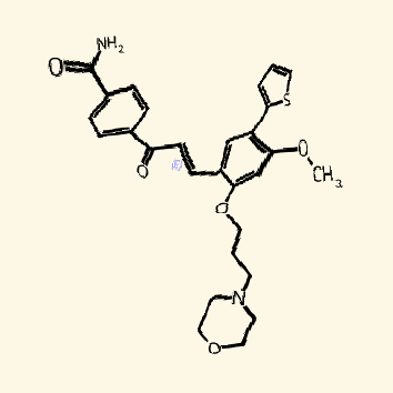 COc1cc(OCCCN2CCOCC2)c(/C=C/C(=O)c2ccc(C(N)=O)cc2)cc1-c1cccs1